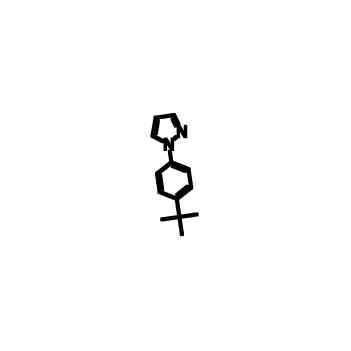 CC(C)(C)c1ccc(-n2cccn2)cc1